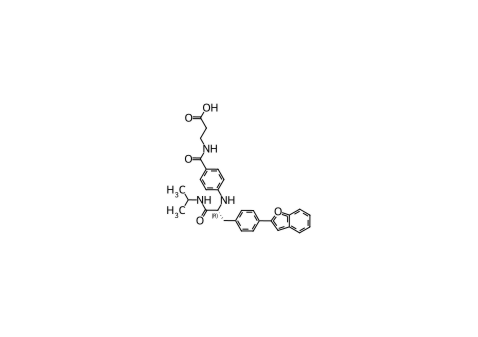 CC(C)NC(=O)[C@@H](Cc1ccc(-c2cc3ccccc3o2)cc1)Nc1ccc(C(=O)NCCC(=O)O)cc1